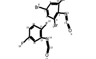 O=C=Nc1c(Br)cc(Br)cc1Br.O=C=Nc1cc(F)ccc1F